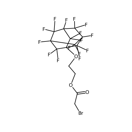 O=C(CBr)OCCOC12C(F)(F)C3(F)C(F)(F)C(F)(C(F)(F)C(F)(C3(F)F)C1(F)F)C2(F)F